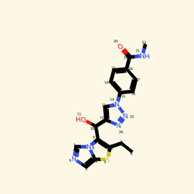 CCc1sc2cncn2c1C(O)c1cn(-c2ccc(C(=O)NC)cc2)nn1